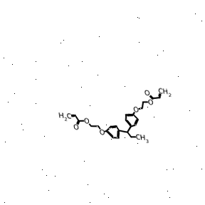 C=CC(=O)OCCOc1ccc(C(CC)c2ccc(OCCOC(=O)C=C)cc2)cc1